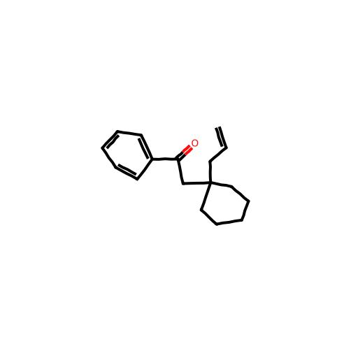 C=CCC1(CC(=O)c2ccccc2)CCCCC1